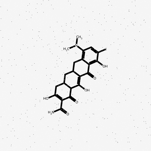 CN(C)c1cc(I)c(O)c2c1CC1CC3CC(O)=C(C(N)=O)C(=O)C3C(O)=C1C2=O